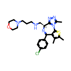 Cc1sc2c(c1C)C(c1ccc(Cl)cc1)=N[C@@H](CNCCCN1CCOCC1)c1nnc(C)n1-2